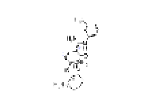 C=C(/N=C\C(C(N)=O)=C(/N)Nc1cccc(C)c1)N[C@@H]1CCCC[C@@H]1N